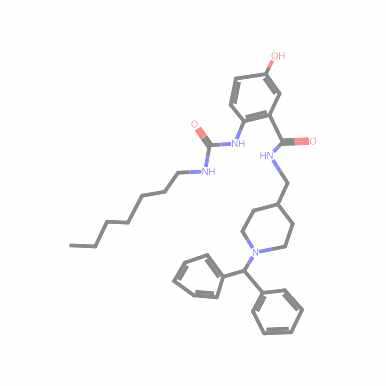 CCCCCCCNC(=O)Nc1ccc(O)cc1C(=O)NCC1CCN(C(c2ccccc2)c2ccccc2)CC1